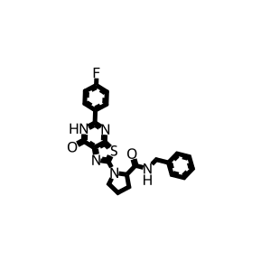 O=C(NCc1ccccc1)C1CCCN1c1nc2c(=O)[nH]c(-c3ccc(F)cc3)nc2s1